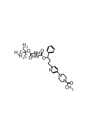 CC(=O)N1CCN(c2ccc(CCC(OC(=O)NNC(=O)OC(C)(C)C)c3ccccc3)nc2)CC1